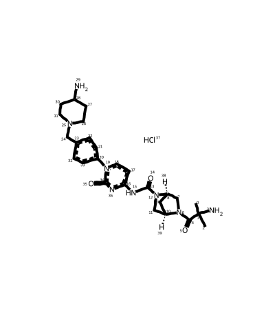 CC(C)(N)C(=O)N1C[C@H]2C[C@@H]1CN2C(=O)Nc1ccn(-c2ccc(CN3CCC(N)CC3)cc2)c(=O)n1.Cl